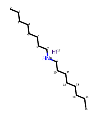 CCCCCCCCNCCCCCCCC.I